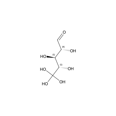 O=C[C@H](O)[C@H](O)[C@H](O)C(O)(O)O